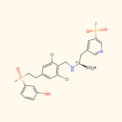 CP(=O)(CCc1cc(Cl)c(CN[C@@H](Cc2cncc(S(C)(=O)=O)c2)C(=O)O)c(Cl)c1)c1cccc(O)c1